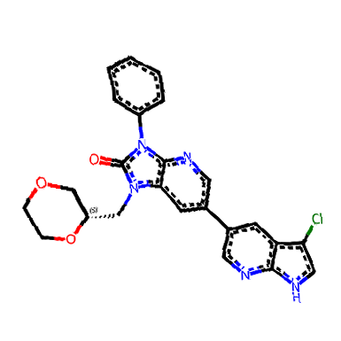 O=c1n(C[C@H]2COCCO2)c2cc(-c3cnc4[nH]cc(Cl)c4c3)cnc2n1-c1ccccc1